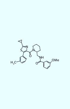 COc1cccc(C(=O)NCC2CCCCN2C(=O)c2nc(C3CC3)sc2-c2cccc(C)c2)c1